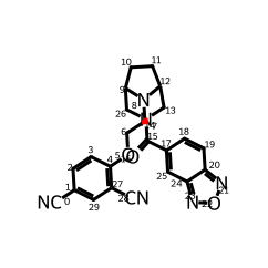 N#Cc1ccc(OCCN2C3CCC2CN(C(=O)c2ccc4nonc4c2)C3)c(C#N)c1